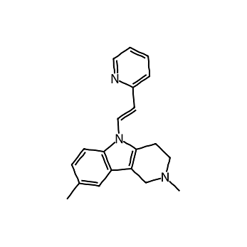 Cc1ccc2c(c1)c1c(n2C=Cc2ccccn2)CCN(C)C1